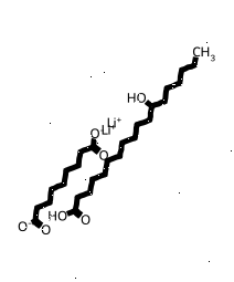 CCCCCCC(O)CCCCCCCCCCC(=O)O.O=C([O-])CCCCCCCC(=O)[O-].[Li+].[Li+]